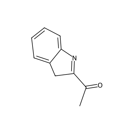 CC(=O)C1=Nc2ccccc2C1